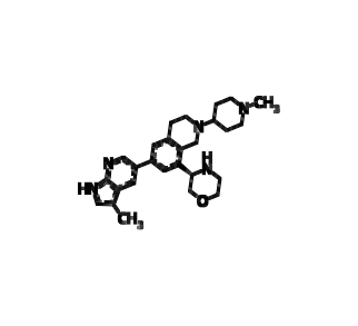 Cc1c[nH]c2ncc(-c3cc4c(c([C@@H]5COCCN5)c3)CN(C3CCN(C)CC3)CC4)cc12